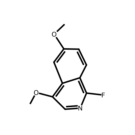 COc1ccc2c(F)ncc(OC)c2c1